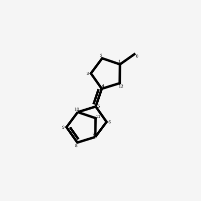 CC1CCC(=C2CC3C=CC2C3)C1